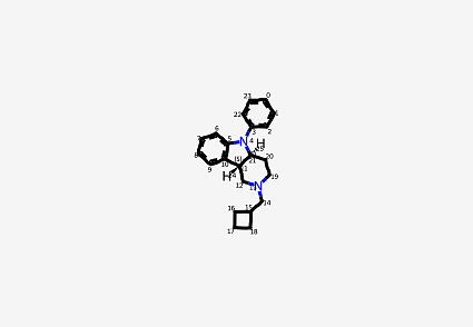 c1ccc(N2c3ccccc3[C@H]3CN(CC4CCC4)CC[C@@H]32)cc1